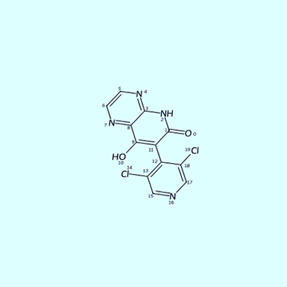 O=c1[nH]c2nccnc2c(O)c1-c1c(Cl)cncc1Cl